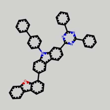 c1ccc(-c2ccc(-n3c4ccc(-c5cccc6c5oc5ccccc56)cc4c4ccc(-c5nc(-c6ccccc6)nc(-c6ccccc6)n5)cc43)cc2)cc1